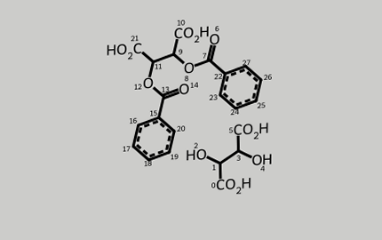 O=C(O)C(O)C(O)C(=O)O.O=C(OC(C(=O)O)C(OC(=O)c1ccccc1)C(=O)O)c1ccccc1